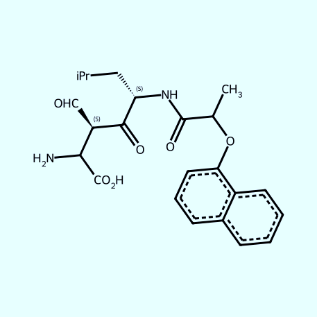 CC(C)C[C@H](NC(=O)C(C)Oc1cccc2ccccc12)C(=O)[C@H](C=O)C(N)C(=O)O